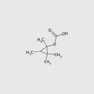 CC1C(C)(C)C1(C)OC(=O)O